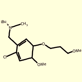 CC[C@@H](C)N(C)CC1=CC(OCCCOC)C(OC)C=C1Cl